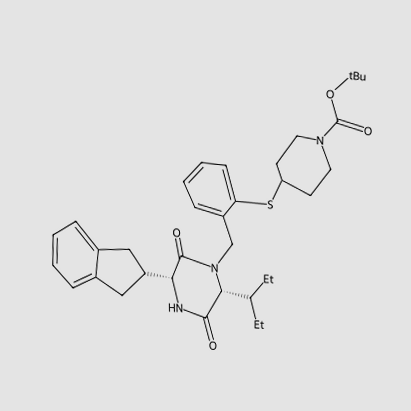 CCC(CC)[C@@H]1C(=O)N[C@H](C2Cc3ccccc3C2)C(=O)N1Cc1ccccc1SC1CCN(C(=O)OC(C)(C)C)CC1